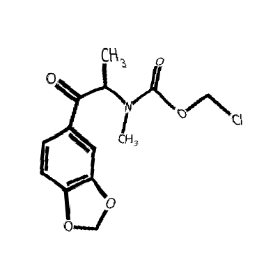 CC(C(=O)c1ccc2c(c1)OCO2)N(C)C(=O)OCCl